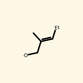 CC/C=C(\C)C[O]